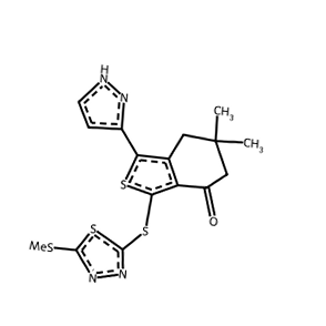 CSc1nnc(Sc2sc(-c3cc[nH]n3)c3c2C(=O)CC(C)(C)C3)s1